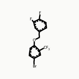 Fc1ccc(COc2ccc(Br)cc2C(F)(F)F)cc1F